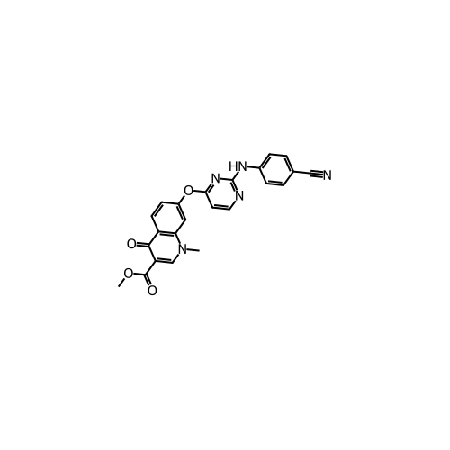 COC(=O)c1cn(C)c2cc(Oc3ccnc(Nc4ccc(C#N)cc4)n3)ccc2c1=O